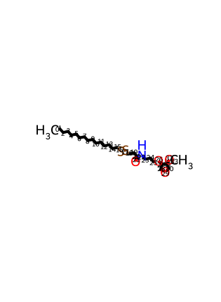 CCCCCCCCCCCCCCCCSSCCC(=O)NCCCOC1COCC1OC